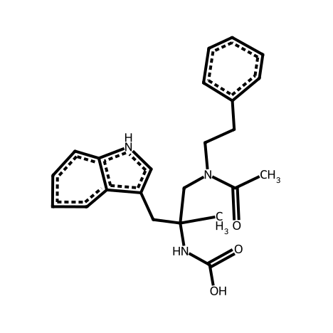 CC(=O)N(CCc1ccccc1)CC(C)(Cc1c[nH]c2ccccc12)NC(=O)O